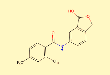 O=C(Nc1ccc2c(c1)B(O)OC2)c1ccc(C(F)(F)F)cc1C(F)(F)F